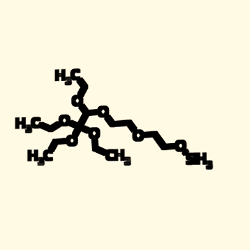 CCOC(OCCOCCO[SiH3])C(OCC)(OCC)OCC